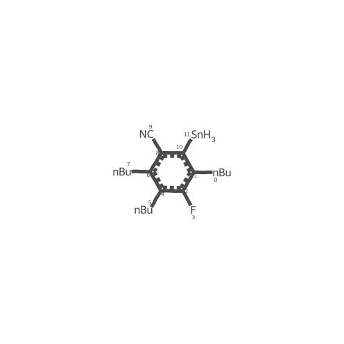 CCCCc1c(F)c(CCCC)c(CCCC)c(C#N)[c]1[SnH3]